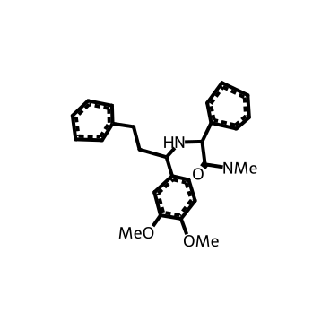 CNC(=O)C(NC(CCc1ccccc1)c1ccc(OC)c(OC)c1)c1ccccc1